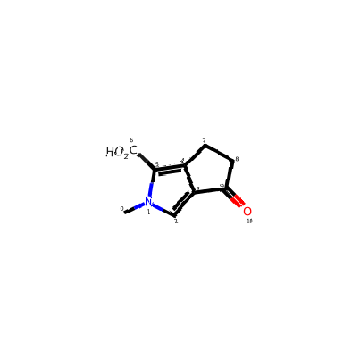 Cn1cc2c(c1C(=O)O)CCC2=O